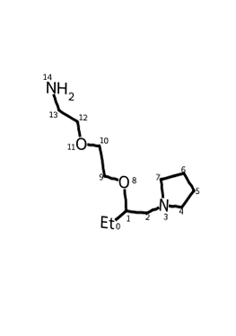 CCC(CN1CCCC1)OCCOCCN